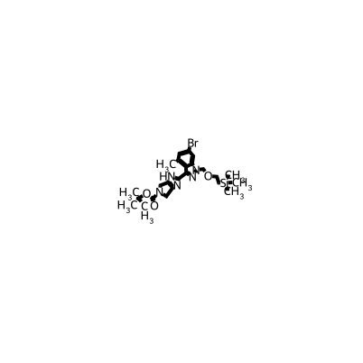 Cc1cc(Br)cc2c1c(-c1nc3c([nH]1)CN(C(=O)OC(C)(C)C)C3)nn2COCC[Si](C)(C)C